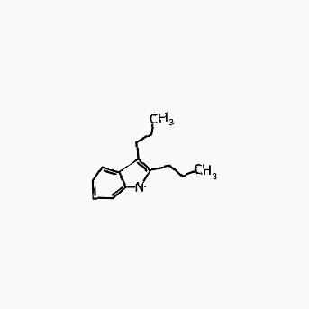 CCCC1=C(CCC)c2ccccc2[N]1